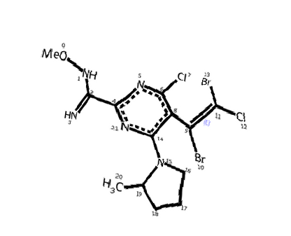 CONC(=N)c1nc(Cl)c(/C(Br)=C(/Cl)Br)c(N2CCCC2C)n1